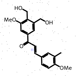 COc1ccc(/C=C/C(=O)c2cc(CO)c(CO)c(OC)c2)cc1C